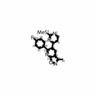 CSc1nccc(-c2cc3c(C)noc3nc2-c2ccc(F)cc2)n1